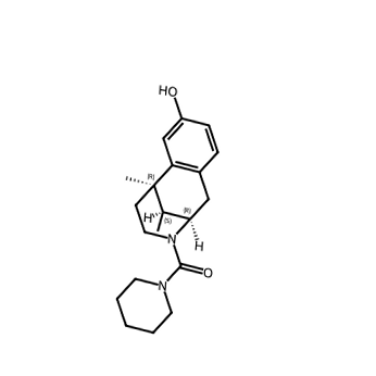 C[C@@H]1[C@H]2Cc3ccc(O)cc3[C@]1(C)CCN2C(=O)N1CCCCC1